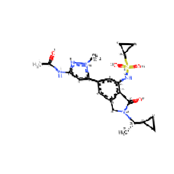 CC(=O)Nc1cc(-c2cc3c(c(NS(=O)(=O)C4CC4)c2)C(=O)N([C@@H](C)C2CC2)C3)n(C)n1